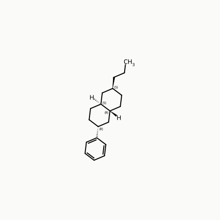 CCC[C@H]1CC[C@@H]2C[C@H](c3ccccc3)CC[C@H]2C1